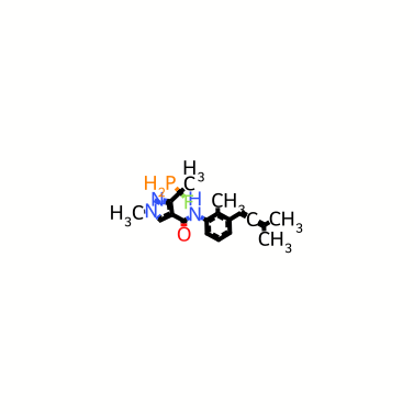 CC(C)=C=Cc1cccc(NC(=O)c2cn(C)nc2C(C)(F)P)c1C